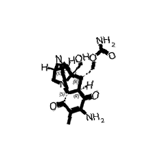 CC1=C(N)C(=O)[C@@H]2[C@@H](COC(N)=O)[C@@]3(CO)[C@@H]4[C@@H]5CN3[C@@]2(C1=O)N45